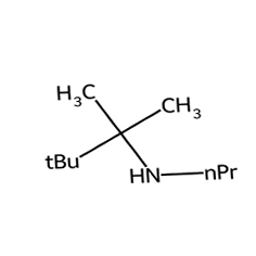 CCCNC(C)(C)C(C)(C)C